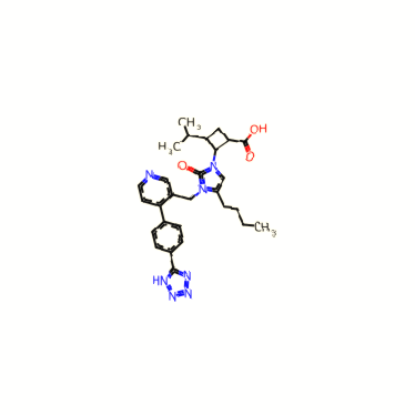 CCCCc1cn(C2C(C(=O)O)CC2C(C)C)c(=O)n1Cc1cnccc1-c1ccc(-c2nnn[nH]2)cc1